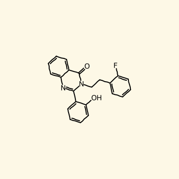 O=c1c2ccccc2nc(-c2ccccc2O)n1CCc1ccccc1F